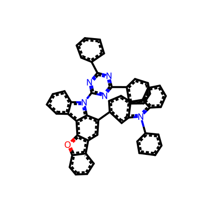 c1ccc(-c2nc(-c3ccccc3)nc(-n3c4ccccc4c4c5oc6ccccc6c5cc(-c5ccc6c7ccccc7n(-c7ccccc7)c6c5)c43)n2)cc1